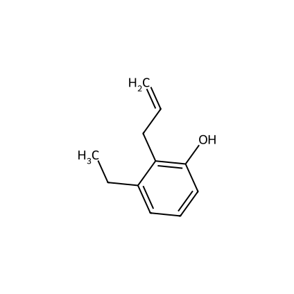 C=CCc1c(O)cccc1CC